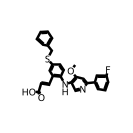 COc1cc(-c2cccc(F)c2)ncc1Nc1ccc(SCc2ccccc2)cc1C=CC(=O)O